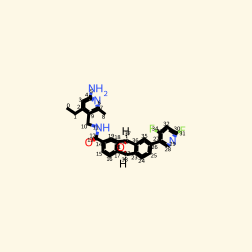 CCc1cc(N)nc(C)c1CNC(=O)c1ccc2c(c1)[C@@H]1O[C@H]2c2ccc(-c3cnc(F)cc3F)cc21